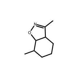 CC1=NOC2C(C)CCCC12